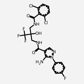 Nc1c(C(=O)NCC(O)(CNC(=O)c2c(Cl)cccc2Cl)C(F)(F)F)cnn1-c1ccc(F)cc1